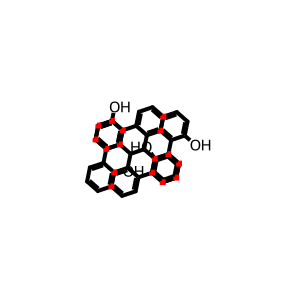 Oc1ccccc1-c1ccccc1C(c1ccccc1-c1ccccc1O)C(c1ccccc1-c1ccccc1O)c1ccccc1-c1ccccc1O